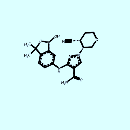 CC1(C)OB(O)c2cc(Nc3nn([C@@H]4COCC[C@H]4C#N)cc3C(N)=O)ccc21